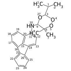 CC(C)C1OOC(C)(C)C(Nc2ccc3c4c(cccc24)-c2ccccc2-3)O1